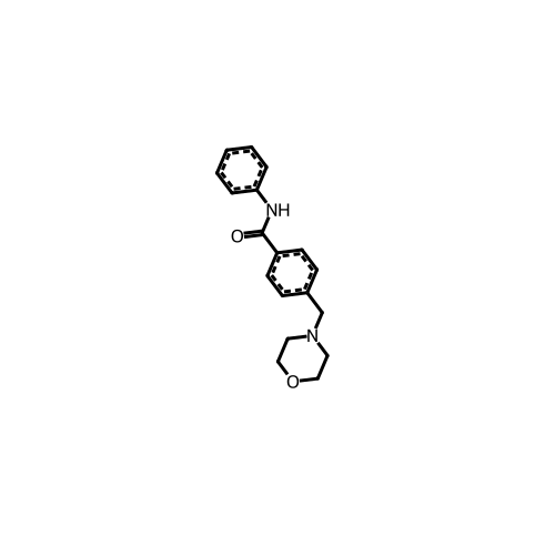 O=C(Nc1ccccc1)c1ccc(CN2CCOCC2)cc1